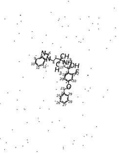 CC(C)(CCn1cnc2ccccc21)NCC(O)c1ccc(OCc2ccccc2)cc1F